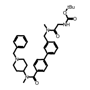 CN(Cc1cccc(-c2ccc(C(=O)N(C)C3CCN(Cc4ccccc4)CC3)cc2)c1)C(=O)CNC(=O)OC(C)(C)C